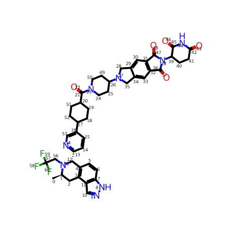 C[C@@H]1Cc2c(ccc3[nH]ncc23)[C@@H](c2ccc(C3CCC(C(=O)N4CCC(N5Cc6cc7c(cc6C5)C(=O)N(C5CCC(=O)NC5=O)C7=O)CC4)CC3)cn2)N1CC(F)(F)F